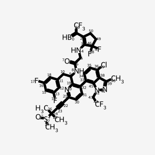 B=C(C1=C(NCC(=O)NC(Cc2cc(F)cc(F)c2)c2nc(C#CC(C)(C)[S+](C)[O-])ccc2-c2ccc(Cl)c3c(C)nn(CC(F)(F)F)c23)C(F)(F)CC1)C(F)(F)F